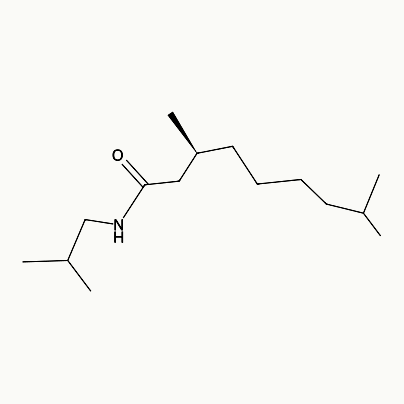 CC(C)CCCC[C@H](C)CC(=O)NCC(C)C